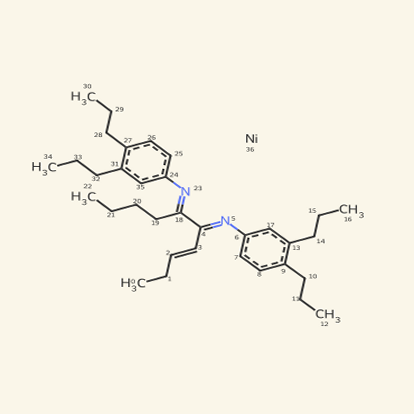 CC/C=C/C(=N\c1ccc(CCC)c(CCC)c1)C(/CCCC)=N/c1ccc(CCC)c(CCC)c1.[Ni]